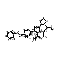 C=CC(=O)N1CCCC1c1nc(-c2ccc(OCc3ccccc3)nc2)c2c(N)nccn12